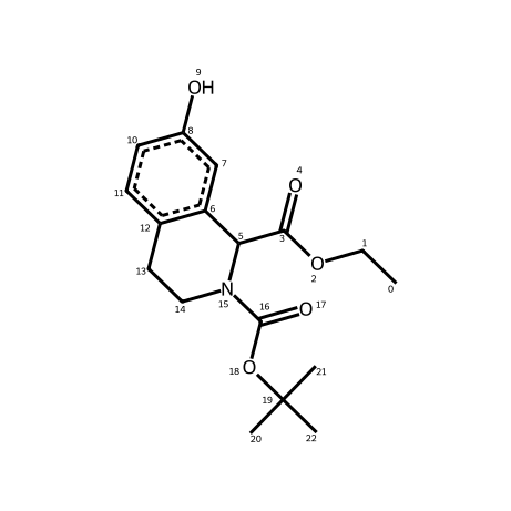 CCOC(=O)C1c2cc(O)ccc2CCN1C(=O)OC(C)(C)C